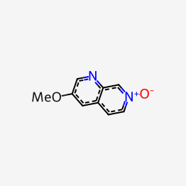 COc1cnc2c[n+]([O-])ccc2c1